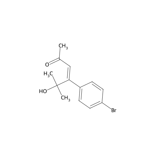 CC(=O)/C=C(/c1ccc(Br)cc1)C(C)(C)O